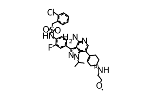 COCCN[C@@H]1CC=C(c2cnc(N)c3c(-c4ccc(NS(=O)(=O)Cc5ccccc5Cl)c(F)c4)nn(C(C)C)c23)CC1